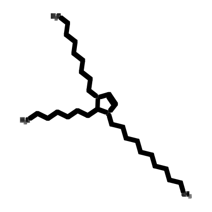 CCCCCCCCCCCN1C=CN(CCCCCCCCC)C1CCCCCCC